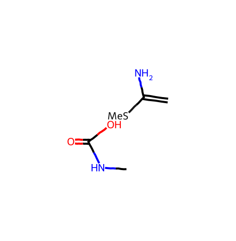 C=C(N)SC.CNC(=O)O